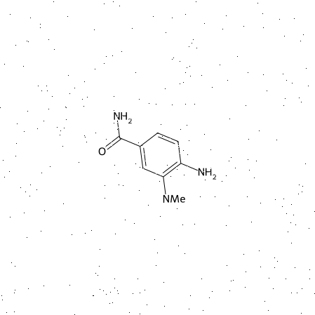 CNc1cc(C(N)=O)ccc1N